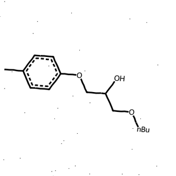 CCCCOCC(O)COc1ccc(C)cc1